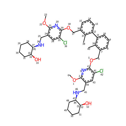 COc1nc(OCc2cccc(-c3cccc(COc4nc(OC)c(CN[C@@H]5CCCC[C@@H]5O)cc4Cl)c3C)c2C)c(Cl)cc1CN[C@@H]1CCCC[C@@H]1O